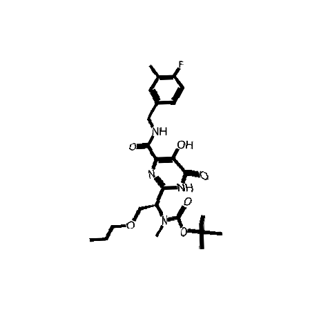 CCCOC[C@@H](c1nc(C(=O)NCc2ccc(F)c(C)c2)c(O)c(=O)[nH]1)N(C)C(=O)OC(C)(C)C